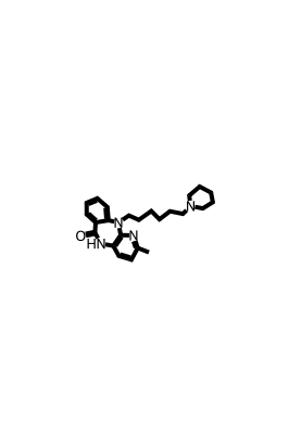 Cc1ccc2c(n1)N(CCCCCCN1CCCCC1)c1ccccc1C(=O)N2